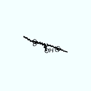 CCCCCCCCCOC(=O)CCCCCCCN(CCCO)CCCCCCCC(=O)OCCCCCCCCC